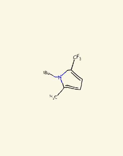 Cc1ccc(C(F)(F)F)n1C(C)(C)C